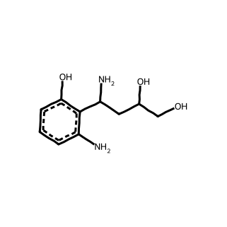 Nc1cccc(O)c1C(N)CC(O)CO